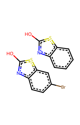 Oc1nc2ccc(Br)cc2s1.Oc1nc2ccccc2s1